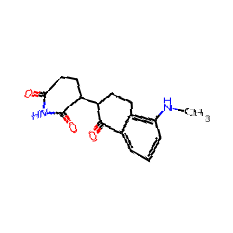 CNc1cccc2c1CCC(C1CCC(=O)NC1=O)C2=O